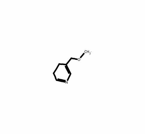 [CH2]OCC1=CN=CCC1